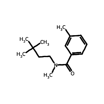 Cc1cccc(C(=O)N(C)CCC(C)(C)C)c1